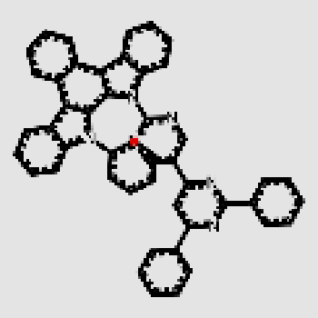 c1ccc(-c2cc(-c3cnc(-n4c5ccccc5c5c6ccccc6c6c7ccccc7n(-c7ccccc7)c6c54)nc3)nc(-c3ccccc3)n2)cc1